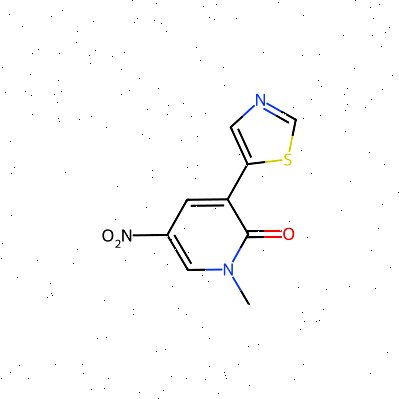 Cn1cc([N+](=O)[O-])cc(-c2cncs2)c1=O